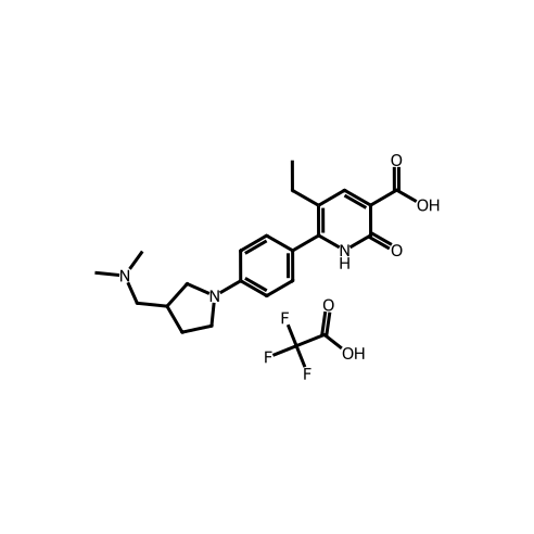 CCc1cc(C(=O)O)c(=O)[nH]c1-c1ccc(N2CCC(CN(C)C)C2)cc1.O=C(O)C(F)(F)F